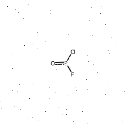 O=[P](F)Cl